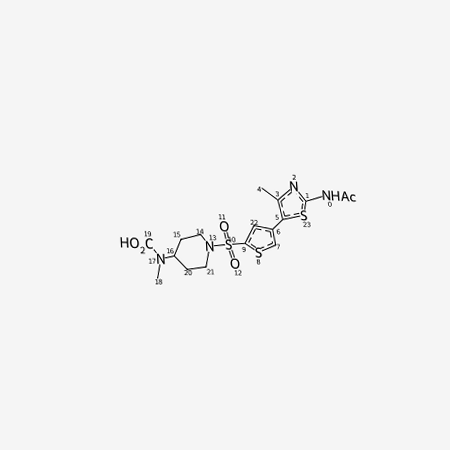 CC(=O)Nc1nc(C)c(-c2csc(S(=O)(=O)N3CCC(N(C)C(=O)O)CC3)c2)s1